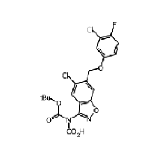 CC(C)(C)OC(=O)N(C(=O)O)c1noc2cc(COc3ccc(F)c(Cl)c3)c(Cl)cc12